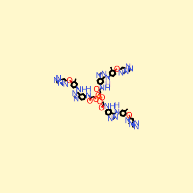 Cc1cc(Nc2ncnc3ccc(NC(=O)COP(=O)(OCC(=O)Nc4ccc5ncnc(Nc6ccc(Oc7cc8nncn8cn7)c(C)c6)c5c4)OCC(=O)Nc4ccc5ncnc(Nc6ccc(Oc7cc8nncn8cn7)c(C)c6)c5c4)cc23)ccc1Oc1cc2nncn2cn1